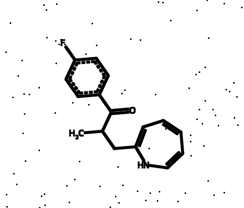 CC(CC1=CC=CC=CN1)C(=O)c1ccc(F)cc1